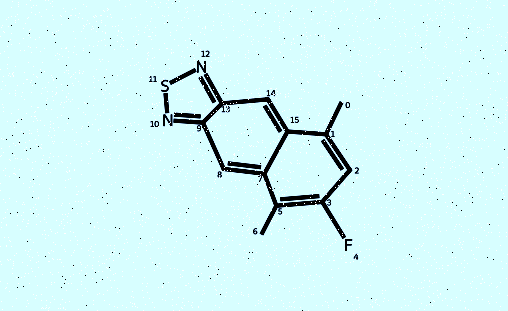 Cc1cc(F)c(C)c2cc3nsnc3cc12